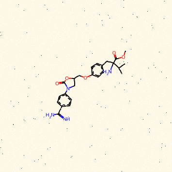 COC(=O)C(N)(Cc1ccc(OCC2CN(c3ccc(C(=N)N)cc3)C(=O)O2)cc1)C(C)C